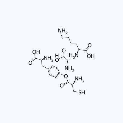 C[C@H](N)C(=O)O.NCCCC[C@H](N)C(=O)O.N[C@@H](Cc1ccc(OC(=O)[C@@H](N)CS)cc1)C(=O)O